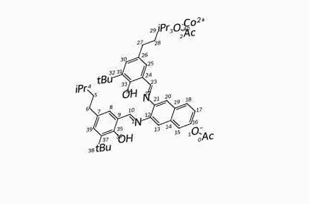 CC(=O)[O-].CC(=O)[O-].CC(C)CCc1cc(C=Nc2cc3ccccc3cc2N=Cc2cc(CCC(C)C)cc(C(C)(C)C)c2O)c(O)c(C(C)(C)C)c1.[Co+2]